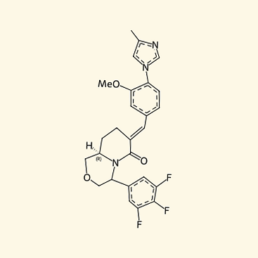 COc1cc(C=C2CC[C@@H]3COCC(c4cc(F)c(F)c(F)c4)N3C2=O)ccc1-n1cnc(C)c1